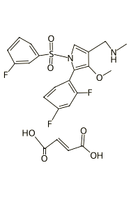 CNCc1cn(S(=O)(=O)c2cccc(F)c2)c(-c2ccc(F)cc2F)c1OC.O=C(O)/C=C/C(=O)O